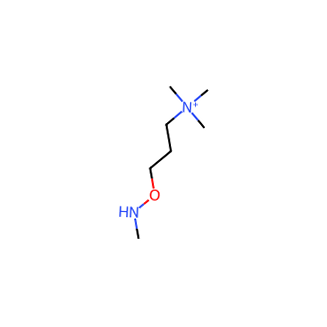 CNOCCC[N+](C)(C)C